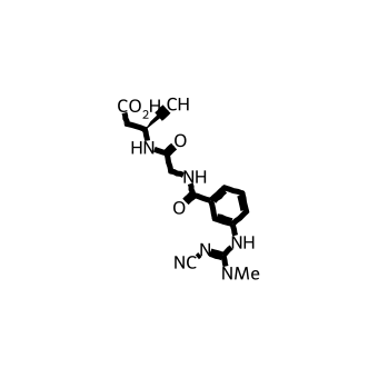 C#C[C@H](CC(=O)O)NC(=O)CNC(=O)c1cccc(NC(=NC#N)NC)c1